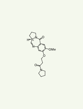 COc1cc2c(cc1OCCC(=O)N1CCCC1)N=C[C@@H]1CCCN1C2=O